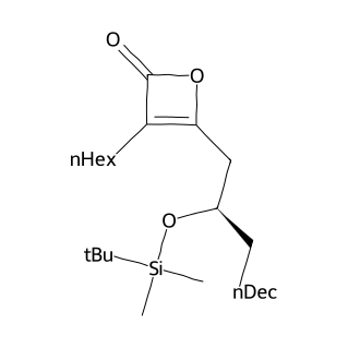 CCCCCCCCCCC[C@H](CC1=C(CCCCCC)C(=O)O1)O[Si](C)(C)C(C)(C)C